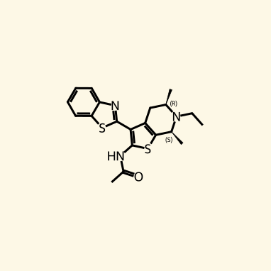 CCN1[C@H](C)Cc2c(sc(NC(C)=O)c2-c2nc3ccccc3s2)[C@@H]1C